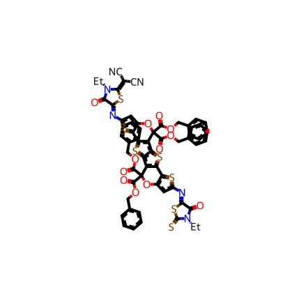 CCN1C(=O)/C(=N/c2cc3c(s2)-c2sc4c5c(sc4c2C(C(=O)OCc2ccccc2)(C(=O)OCc2ccccc2)O3)-c2sc(/N=C3\SC(=C(C#N)C#N)N(CC)C3=O)cc2OC5(C(=O)OCc2ccccc2)C(=O)OCc2ccccc2)SC1=S